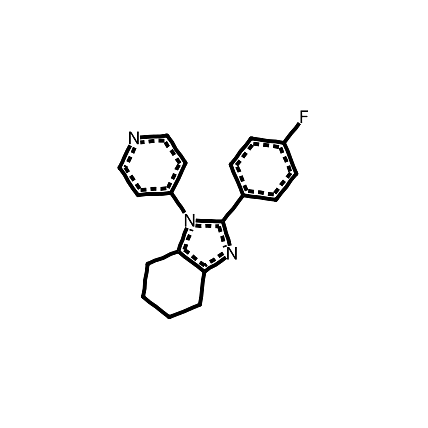 Fc1ccc(-c2nc3c(n2-c2ccncc2)CCCC3)cc1